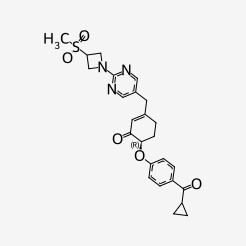 CS(=O)(=O)C1CN(c2ncc(CC3=CC(=O)[C@H](Oc4ccc(C(=O)C5CC5)cc4)CC3)cn2)C1